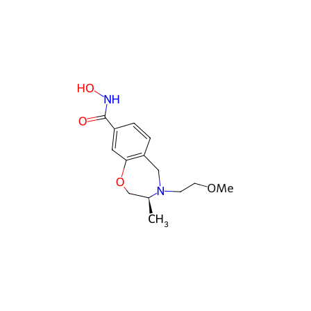 COCCN1Cc2ccc(C(=O)NO)cc2OC[C@@H]1C